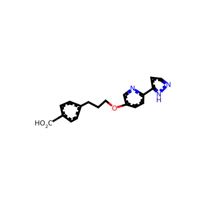 O=C(O)c1ccc(CCCOc2ccc(-c3ccn[nH]3)nc2)cc1